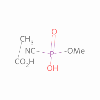 CC(=O)O.COP(=O)(O)C#N